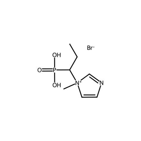 CCC([N+]1(C)C=CN=C1)P(=O)(O)O.[Br-]